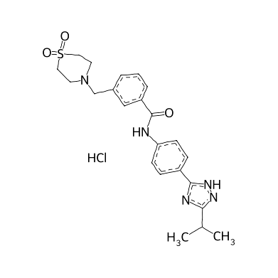 CC(C)c1n[nH]c(-c2ccc(NC(=O)c3cccc(CN4CCS(=O)(=O)CC4)c3)cc2)n1.Cl